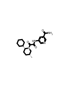 C[C@@H]1CC[C@H](C2CCCCC2)N(C(=O)C(=O)Nc2cncc(C(N)=O)c2)C1